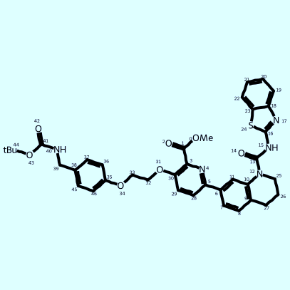 COC(=O)c1nc(-c2ccc3c(c2)N(C(=O)Nc2nc4ccccc4s2)CCC3)ccc1OCCOc1ccc(CNC(=O)OC(C)(C)C)cc1